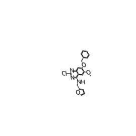 COc1cc2c(NCc3ccco3)nc(Cl)nc2cc1OCc1ccccc1